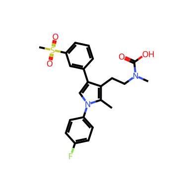 Cc1c(CCN(C)C(=O)O)c(-c2cccc(S(C)(=O)=O)c2)cn1-c1ccc(F)cc1